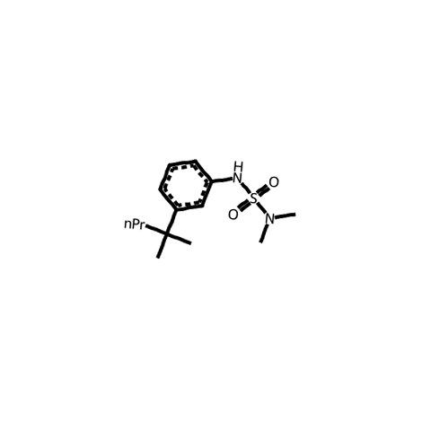 CCCC(C)(C)c1cccc(NS(=O)(=O)N(C)C)c1